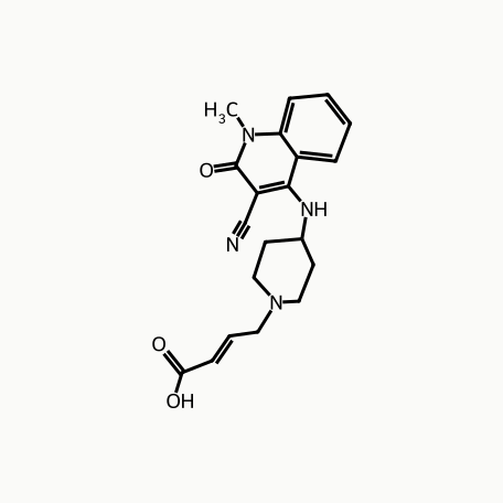 Cn1c(=O)c(C#N)c(NC2CCN(CC=CC(=O)O)CC2)c2ccccc21